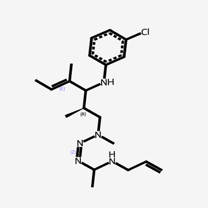 C=CCNC(C)/N=N\N(C)C[C@@H](C)C(Nc1cccc(Cl)c1)/C(C)=C/C